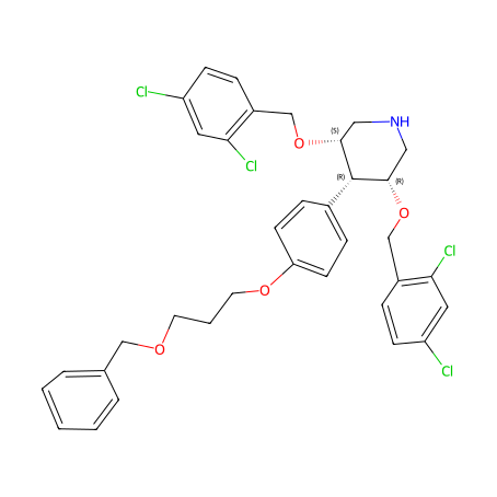 Clc1ccc(CO[C@H]2CNC[C@@H](OCc3ccc(Cl)cc3Cl)[C@H]2c2ccc(OCCCOCc3ccccc3)cc2)c(Cl)c1